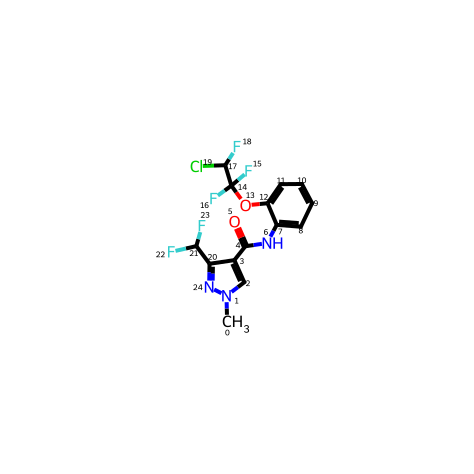 Cn1cc(C(=O)Nc2ccccc2OC(F)(F)C(F)Cl)c(C(F)F)n1